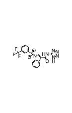 O=C(Nc1nnn[nH]1)c1cn(S(=O)(=O)c2cccc(C(F)(F)F)c2)c2ccccc12